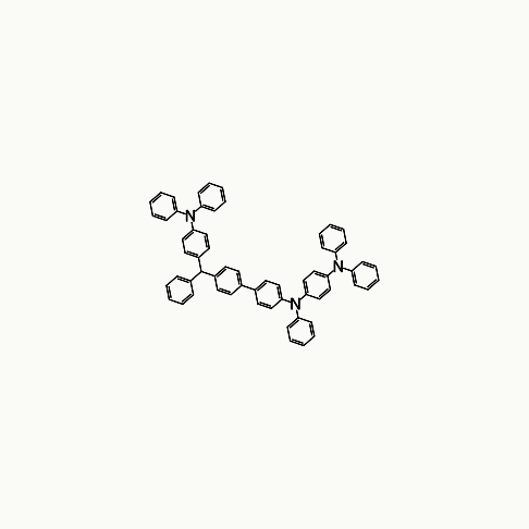 c1ccc(C(c2ccc(-c3ccc(N(c4ccccc4)c4ccc(N(c5ccccc5)c5ccccc5)cc4)cc3)cc2)c2ccc(N(c3ccccc3)c3ccccc3)cc2)cc1